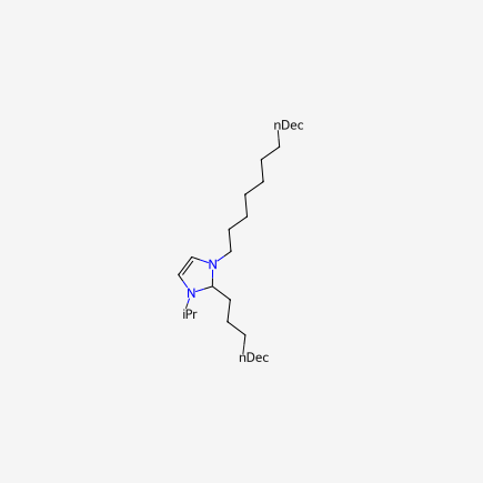 CCCCCCCCCCCCCCCCCN1C=CN(C(C)C)C1CCCCCCCCCCCCC